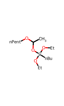 CCCCCOC(C)O[Si](CCCC)(OCC)OCC